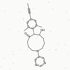 CC#Cc1cc(C)c(C2C(=O)CCCN(c3cncnc3)CCCC2O)c(C)c1